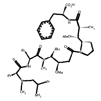 CC[C@H](C)[C@@H]([C@@H](CC(=O)N1CCC[C@H]1[C@H](OC)[C@@H](C)C(=O)N[C@@H](Cc1ccccc1)C(=O)O)OC)N(C)C(=O)C(NC(=O)[C@H](C(C)C)N(C)CC(N)C(C)C)C(C)C